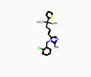 CCCCc1ncc(C=CCC(NC)(C(=O)O)c2cccs2)n1Cc1ccccc1Cl